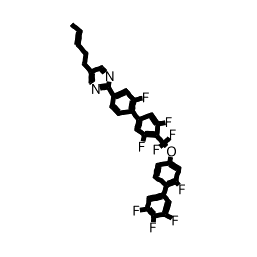 C/C=C/CCc1cnc(-c2ccc(-c3cc(F)c(C(F)(F)Oc4ccc(-c5cc(F)c(F)c(F)c5)c(F)c4)c(F)c3)c(F)c2)nc1